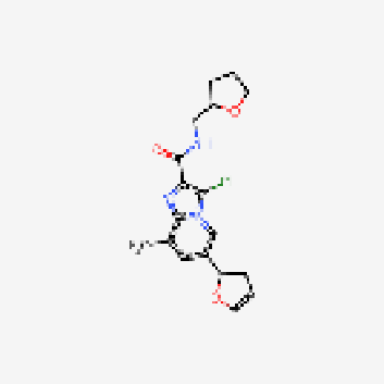 O=C(NCC1CCCO1)c1nc2c(C(F)(F)F)cc(C3CC=CO3)cn2c1Cl